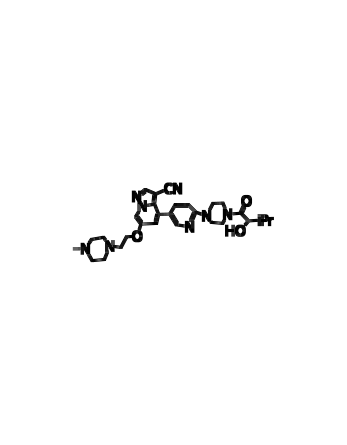 CC(C)C(O)C(=O)N1CCN(c2ccc(-c3cc(OCCN4CCN(C)CC4)cn4ncc(C#N)c34)cn2)CC1